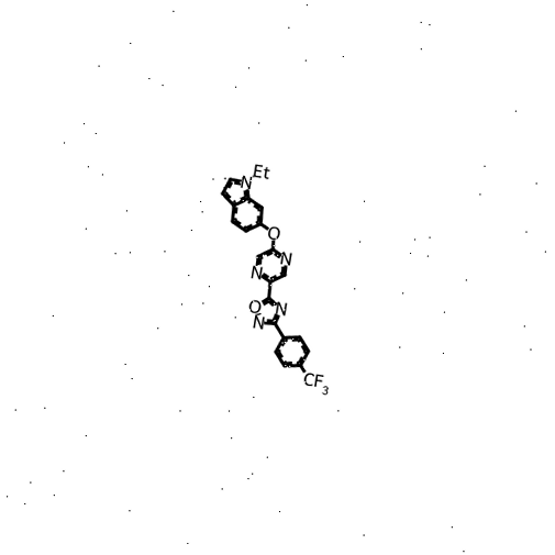 CCn1[c]cc2ccc(Oc3cnc(-c4nc(-c5ccc(C(F)(F)F)cc5)no4)cn3)cc21